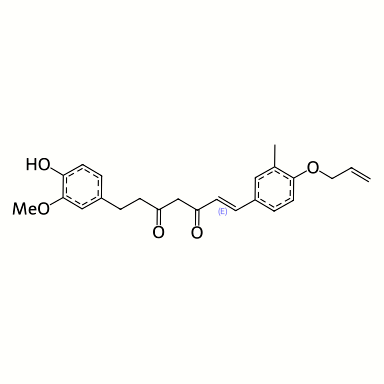 C=CCOc1ccc(/C=C/C(=O)CC(=O)CCc2ccc(O)c(OC)c2)cc1C